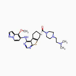 COc1c(Nc2ncnc3sc4c(c23)CC[C@H](C(=O)N2CCN(CCN(C)C)CC2)C4)ccn2nccc12